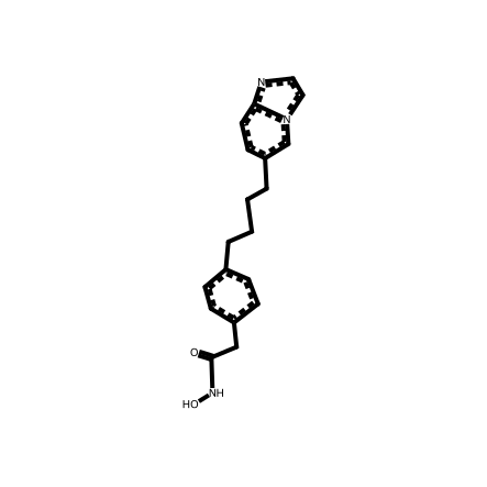 O=C(Cc1ccc(CCCCc2ccc3nccn3c2)cc1)NO